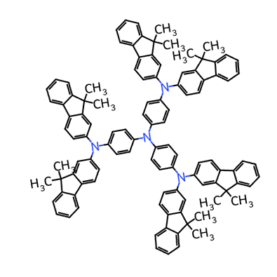 CC1(C)c2ccccc2-c2ccc(N(c3ccc(N(c4ccc(N(c5ccc6c(c5)C(C)(C)c5ccccc5-6)c5ccc6c(c5)C(C)(C)c5ccccc5-6)cc4)c4ccc(N(c5ccc6c(c5)C(C)(C)c5ccccc5-6)c5ccc6c(c5)C(C)(C)c5ccccc5-6)cc4)cc3)c3ccc4c(c3)C(C)(C)c3ccccc3-4)cc21